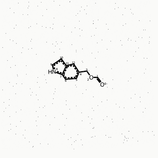 O=COCc1ccc2[nH]ccc2c1